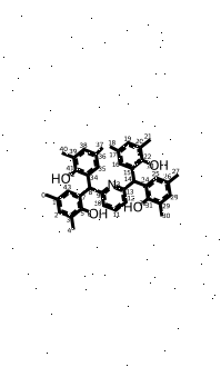 Cc1cc(C)c(O)c(C(c2cccc(C(c3cc(C)cc(C)c3O)c3cc(C)cc(C)c3O)n2)c2cc(C)cc(C)c2O)c1